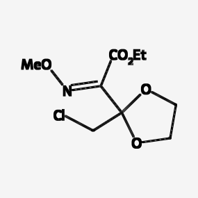 CCOC(=O)C(=NOC)C1(CCl)OCCO1